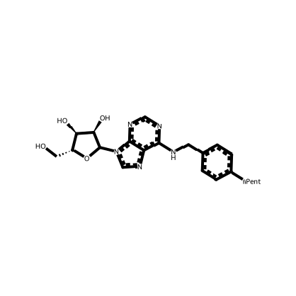 CCCCCc1ccc(CNc2ncnc3c2ncn3C2O[C@H](CO)[C@@H](O)[C@H]2O)cc1